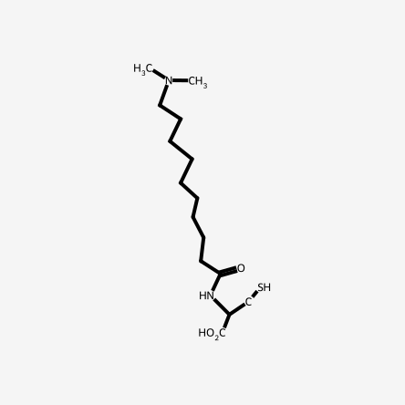 CN(C)CCCCCCCCCC(=O)NC(CS)C(=O)O